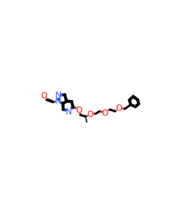 C[C@@H](COc1cc2cnn(C=C=O)c2cn1)OCCOCCOCc1ccccc1